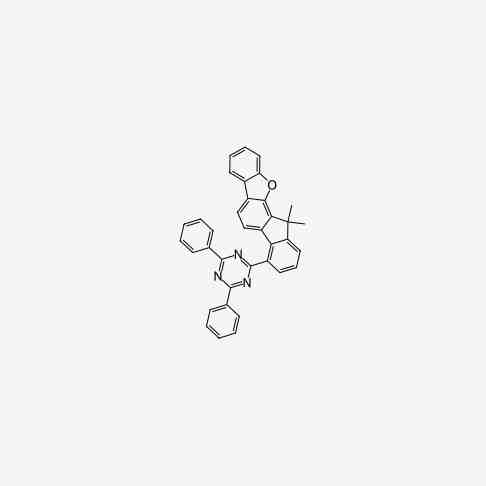 CC1(C)c2cccc(-c3nc(-c4ccccc4)nc(-c4ccccc4)n3)c2-c2ccc3c(oc4ccccc43)c21